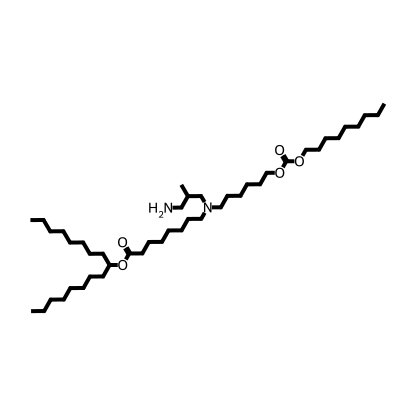 CCCCCCCCCOC(=O)OCCCCCCN(CCCCCCCC(=O)OC(CCCCCCCC)CCCCCCCC)CC(C)CN